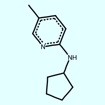 Cc1ccc(NC2CCCC2)nc1